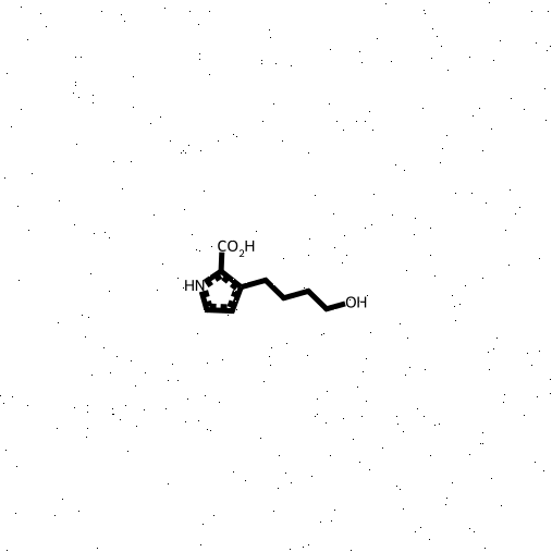 O=C(O)c1[nH]ccc1CCCCO